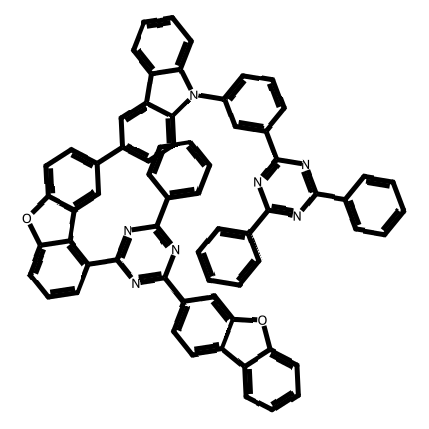 c1ccc(-c2nc(-c3ccccc3)nc(-c3cccc(-n4c5ccccc5c5cc(-c6ccc7oc8cccc(-c9nc(-c%10ccccc%10)nc(-c%10ccc%11c(c%10)oc%10ccccc%10%11)n9)c8c7c6)ccc54)c3)n2)cc1